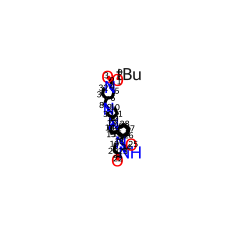 CC(C)(C)OC(=O)N1CCC(CN2CC[C@@H](n3ccc4c(N5CCC(=O)NC5=O)cccc43)C2)CC1